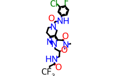 CN1OC(CNC(=O)CC(F)(F)F)Cn2nc3c(c2C1=O)CN(C(=O)Nc1ccc(F)c(Cl)c1)CC3